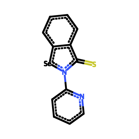 S=c1c2ccccc2[se]n1-c1ccccn1